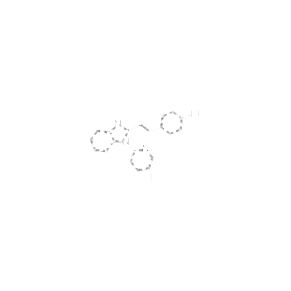 CCc1ccc(C=Cc2nc3ccccc3n2-c2ccccn2)cc1.Cl